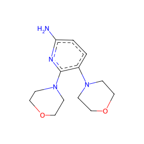 Nc1ccc(N2CCOCC2)c(N2CCOCC2)n1